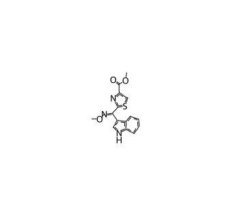 CO/N=C(/c1nc(C(=O)OC)cs1)c1c[nH]c2ccccc12